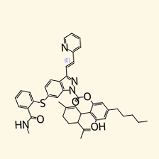 C=C(C)C1CCC(C)=CC1c1c(O)cc(CCCCC)cc1OC(=O)n1nc(/C=C/c2ccccn2)c2ccc(Sc3ccccc3C(=O)NC)cc21